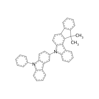 CC1(C)c2ccccc2-c2ccc3c(c21)c1ccccc1n3-c1ccc2c(c1)c1ccccc1n2-c1ccccc1